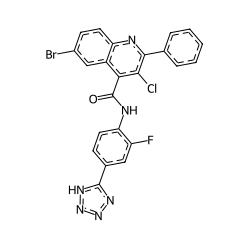 O=C(Nc1ccc(-c2nnn[nH]2)cc1F)c1c(Cl)c(-c2ccccc2)nc2ccc(Br)cc12